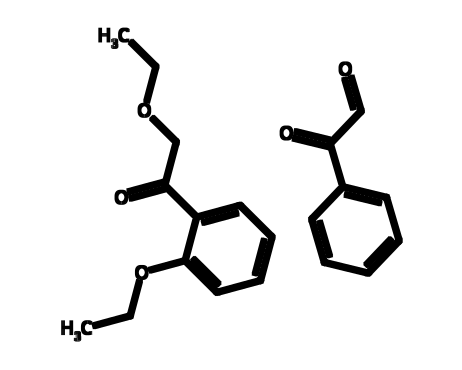 CCOCC(=O)c1ccccc1OCC.O=CC(=O)c1ccccc1